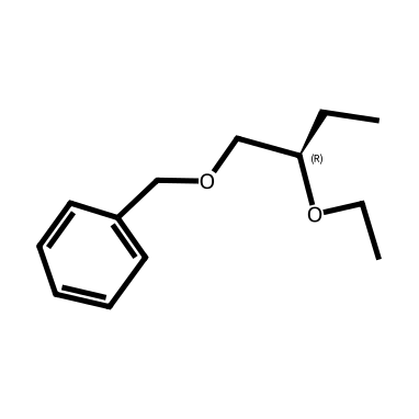 CCO[C@H](CC)COCc1ccccc1